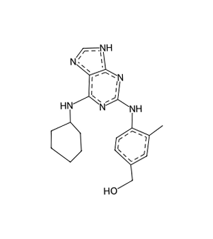 Cc1cc(CO)ccc1Nc1nc(NC2CCCCC2)c2nc[nH]c2n1